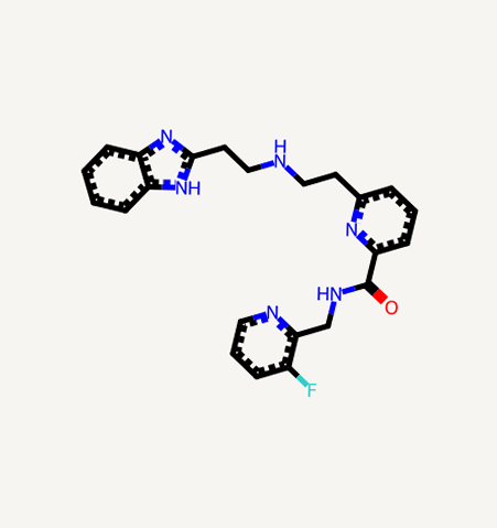 O=C(NCc1ncccc1F)c1cccc(CCNCCc2nc3ccccc3[nH]2)n1